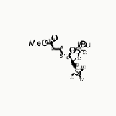 COC(=O)CCC[C@@H](C#C[Si](C)(C)C)O[Si](C)(C)C(C)(C)C